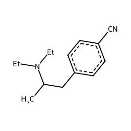 CCN(CC)[C](C)Cc1ccc(C#N)cc1